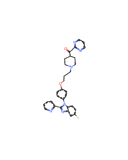 O=C(c1ncccn1)C1CCN(CCCOc2ccc(-n3c(-c4ccccn4)nc4cc(F)ccc43)cc2)CC1